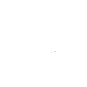 CCCCC[PH](CCCC)(CCCC)C(CC(=O)O)C(=O)O